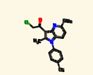 COc1ccc2c(n1)c(C(=O)CCl)c(C)n2-c1ccc(C#N)cc1